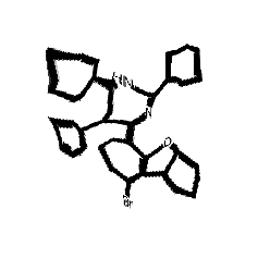 BrC1CCC(C2N=C(C3CC=CCC3)NC(C3C=CCCC3)C2C2C=CC=CC2)C2=C1C1CCCC=C1O2